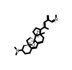 C=C(/C=N\C)/C=C(\C)C1CC[C@@H]2C1(C)CC=C1C=C3CCC(N(C)C)C[C@]34CC[C@@]12O4